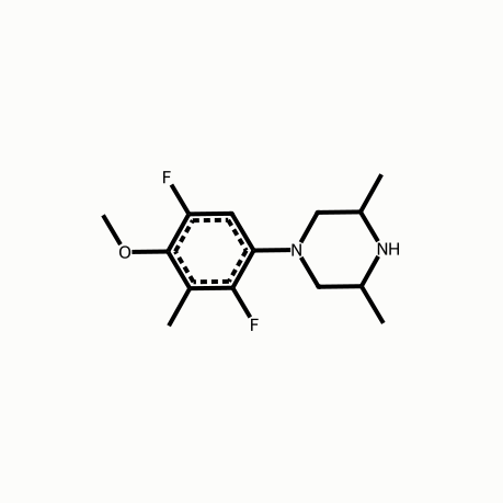 COc1c(F)cc(N2CC(C)NC(C)C2)c(F)c1C